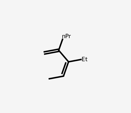 C=C(CCC)/C(=C\C)CC